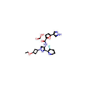 CCOC1CC(n2cc(NC(=O)c3ccc(-c4cn[nH]c4)o3)c(-c3ncccc3F)n2)C1.O=CO